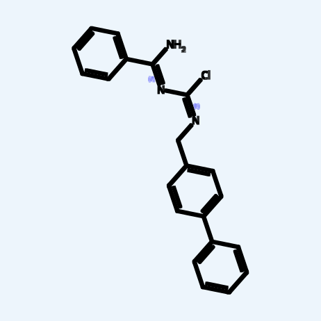 N/C(=N\C(Cl)=N/Cc1ccc(-c2ccccc2)cc1)c1ccccc1